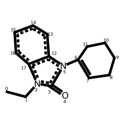 CCn1c(=O)n(C2=CCCCC2)c2ccccc21